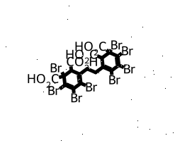 O=C(O)C1C(CCC2=C(Br)C(Br)=C(Br)C(Br)(C(=O)O)C2C(=O)O)=C(Br)C(Br)=C(Br)C1(Br)C(=O)O